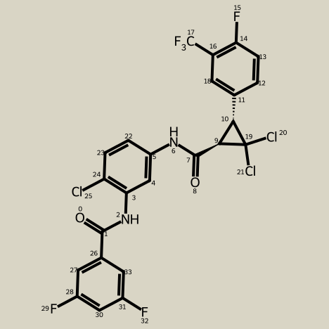 O=C(Nc1cc(NC(=O)[C@H]2[C@H](c3ccc(F)c(C(F)(F)F)c3)C2(Cl)Cl)ccc1Cl)c1cc(F)cc(F)c1